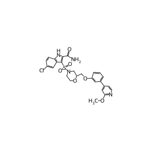 COc1cc(-c2cccc(OCC3CN(S(=O)(=O)c4c(C(N)=O)[nH]c5ccc(Cl)cc45)CCO3)c2)ccn1